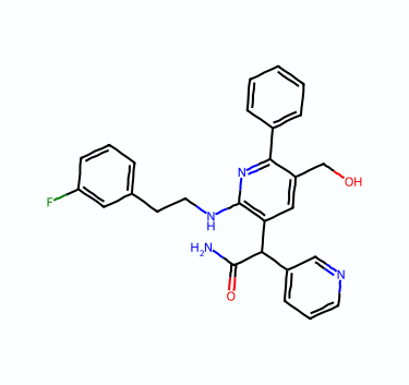 NC(=O)C(c1cccnc1)c1cc(CO)c(-c2ccccc2)nc1NCCc1cccc(F)c1